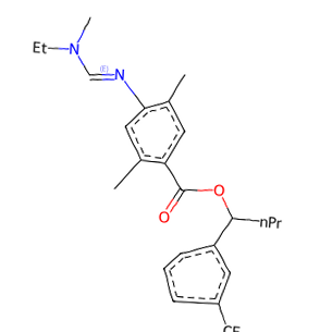 CCCC(OC(=O)c1cc(C)c(/N=C/N(C)CC)cc1C)c1cccc(C(F)(F)F)c1